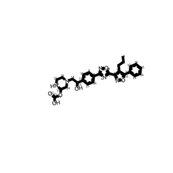 CCCc1c(-c2nc(-c3ccc(C(O)CN4CCNC(OC(=O)O)C4)cc3)no2)noc1-c1ccccc1